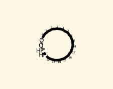 C1CCCCCCCOOPPCCCCCCC1